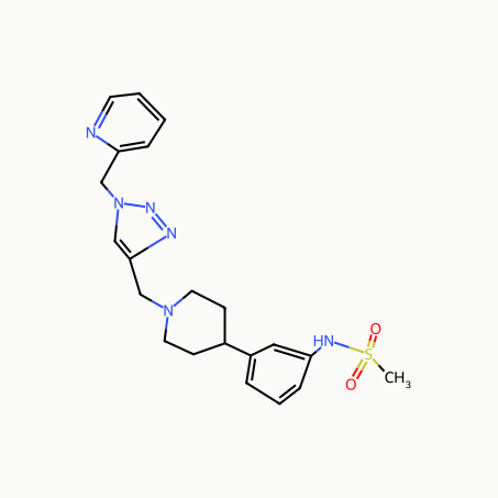 CS(=O)(=O)Nc1cccc(C2CCN(Cc3cn(Cc4ccccn4)nn3)CC2)c1